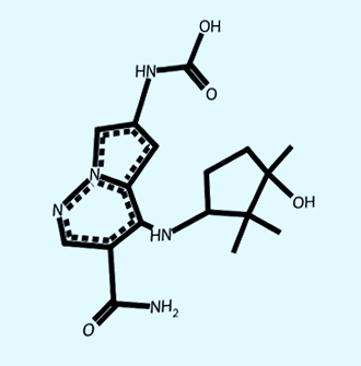 CC1(O)CCC(Nc2c(C(N)=O)cnn3cc(NC(=O)O)cc23)C1(C)C